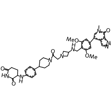 COc1cc(-c2cn(C)c(=O)c3[nH]ncc23)cc(OC)c1CNC1CN(CC(=O)N2CCC(c3ccc(NC4CCC(=O)NC4=O)cc3)CC2)C1